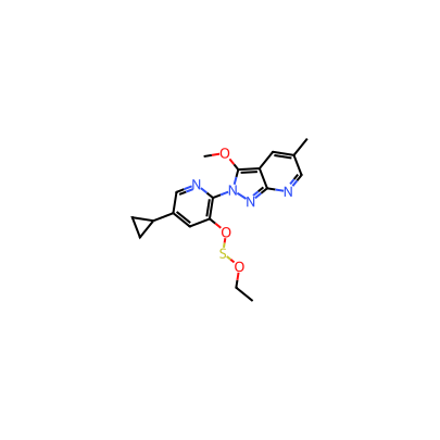 CCOSOc1cc(C2CC2)cnc1-n1nc2ncc(C)cc2c1OC